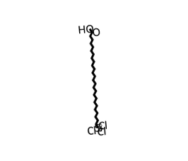 O=C(O)CCCCCCCCCCCCCCCCCCCCCCCCC[Si](Cl)(Cl)Cl